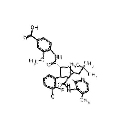 COc1cc(C(=O)O)ccc1NC(=O)[C@@H]1N[C@@H](CC(C)(C)C)[C@@]2(C(=O)Nc3c(C)ccnc32)[C@H]1c1cccc(Cl)c1F